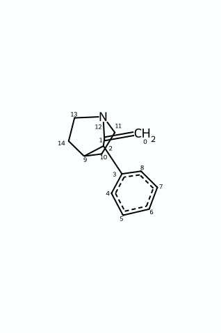 C=C1C(c2ccccc2)C2CCN1CC2